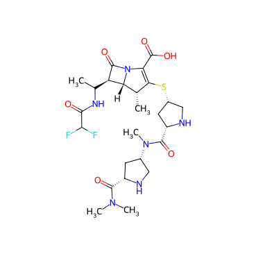 CC(NC(=O)C(F)F)[C@H]1C(=O)N2C(C(=O)O)=C(S[C@@H]3CN[C@H](C(=O)N(C)[C@@H]4CN[C@H](C(=O)N(C)C)C4)C3)[C@H](C)[C@H]12